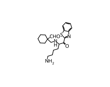 NCCCCC(NCC1(C=O)CCCCC1)C(=O)c1nc2ccccc2s1